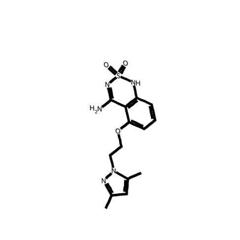 Cc1cc(C)n(CCOc2cccc3c2C(N)=NS(=O)(=O)N3)n1